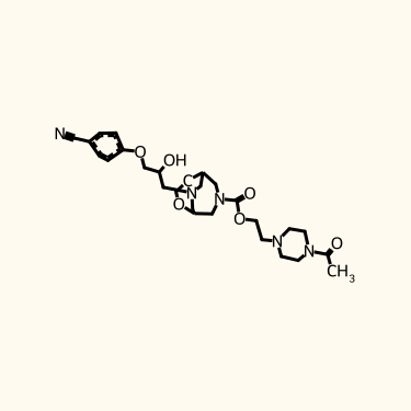 CC(=O)N1CCN(CCOC(=O)N2CC3CCOC(CN(CC(O)COc4ccc(C#N)cc4)C3)C2)CC1